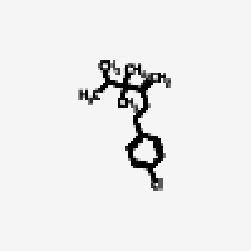 C=C(CCc1ccc(Cl)cc1)C(C)(C)C(C)C